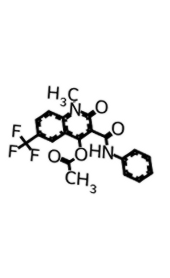 CC(=O)Oc1c(C(=O)Nc2ccccc2)c(=O)n(C)c2ccc(C(F)(F)F)cc12